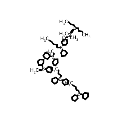 C=CB(C1CCCCC1)C1CCCCC1.CCB(C1CCCCC1)C1CCCCC1.CCCCB(C#C[Si](C)(C)C)CCCC.CCCCB(C1CCCCC1)C1CCCCC1.CCCCC=CB(C1CCCCC1)C1CCCCC1.CCCCCB(C1CCCCC1)C1CCCCC1